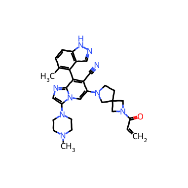 C=CC(=O)N1CC2(CCN(c3cn4c(N5CCN(C)CC5)cnc4c(-c4c(C)ccc5[nH]ncc45)c3C#N)C2)C1